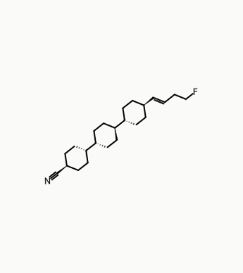 N#C[C@H]1CC[C@H]([C@H]2CC[C@H]([C@H]3CC[C@H](C=CCCF)CC3)CC2)CC1